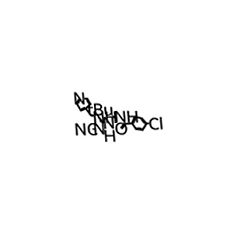 CC(C)(C)C(NC(=O)c1ccc(Cl)cc1)N/C(=N/C#N)NCc1ccncc1